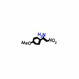 COc1ccc(C(N)=C[N+](=O)[O-])cc1